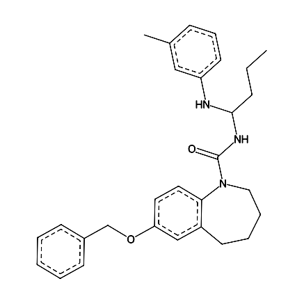 CCCC(NC(=O)N1CCCCc2cc(OCc3ccccc3)ccc21)Nc1cccc(C)c1